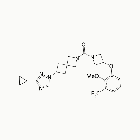 COc1c(OC2CN(C(=O)N3CC4(CC(n5cnc(C6CC6)n5)C4)C3)C2)cccc1C(F)(F)F